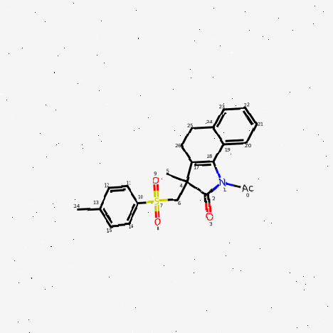 CC(=O)N1C(=O)C(C)(CS(=O)(=O)c2ccc(C)cc2)C2=C1c1ccccc1CC2